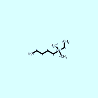 [CH2]C[N+](C)(C)CCCCS